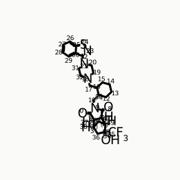 O=C1[C@@H]2[C@@H]3C[C@H]([C@@H]2C(=O)N1C[C@@H]1CCCCC1CN1CCN(c2nsc4ccccc24)CC1)[C@@](O)(C(F)(F)F)C3